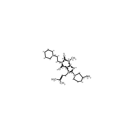 CC(C)=CCn1c(N2CCCC(N)C2)nc2c1c(=O)n(CCN1CCCCC1)c(=O)n2C